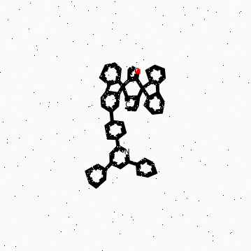 c1ccc(-c2cc(-c3ccccc3)nc(-c3ccc(-c4ccc5c(c4)C4(c6ccccc6-5)c5ccccc5C5(c6ccccc6-c6ccccc65)c5ccccc54)cc3)c2)cc1